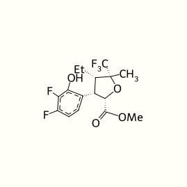 CC[C@H]1[C@@H](c2ccc(F)c(F)c2O)[C@@H](C(=O)OC)O[C@@]1(C)C(F)(F)F